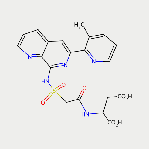 Cc1cccnc1-c1cc2cccnc2c(NS(=O)(=O)CC(=O)NC(CC(=O)O)C(=O)O)n1